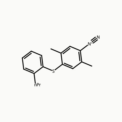 CCCc1ccccc1Sc1cc(C)c([N+]#N)cc1C